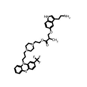 CC(COc1ccc2[nH]cc(CCN)c2c1)C(=O)OCCN1CCN(CCCN2c3ccccc3Sc3ccc(C(F)(F)F)cc32)CC1